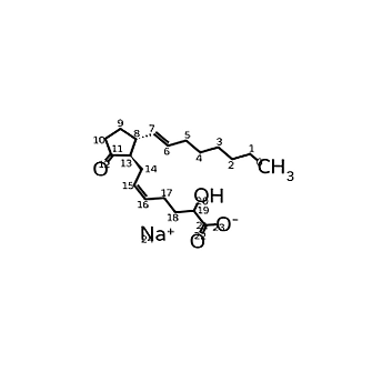 CCCCCC/C=C/[C@H]1CCC(=O)[C@@H]1C/C=C\CCC(O)C(=O)[O-].[Na+]